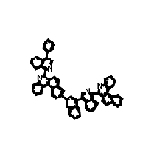 c1ccc(-c2cnc(-c3nc4ccccc4c4c3ccc3cc(-c5cc(-c6cnc(-c7nc8ccccc8c8c7ccc7ccccc78)c7ccccc67)c6ccccc6c5)ccc34)c3ccccc23)cc1